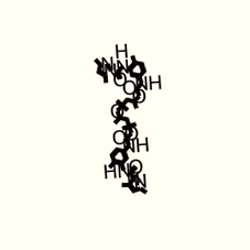 Cc1cc(C)n(C(=O)Nc2cc(NC(=O)OC(C)CC(C)(C)OC(C)CC(C)(C)OC(=O)Nc3ccc(C)c(NC(=O)n4nc(C)cc4C)c3)ccc2C)n1